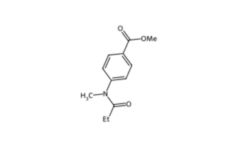 CCC(=O)N(C)c1ccc(C(=O)OC)cc1